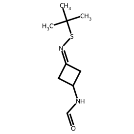 CC(C)(C)SN=C1CC(NC=O)C1